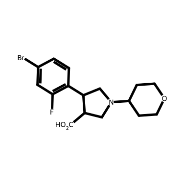 O=C(O)C1CN(C2CCOCC2)CC1c1ccc(Br)cc1F